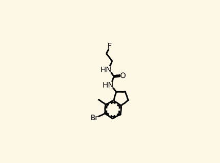 Cc1c(Br)ccc2c1C(NC(=O)NCCF)CC2